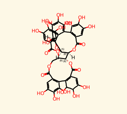 O=C1O[C@@H]([C@@H]2OC(=O)c3cc(O)c(O)c(O)c3-c3c(O)c(O)c(O)c4c3C(=O)O[C@H]2[C@H]4O)[C@H](OC(=O)c2cc(O)c(O)c(O)c2)COC(=O)c2cc(O)c(O)c(O)c2C2=C1C=C(O)C(O)C2O